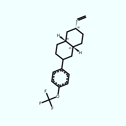 C=C[C@@H]1CC[C@@H]2CC(c3ccc(OC(F)(F)F)cc3)CC[C@@H]2C1